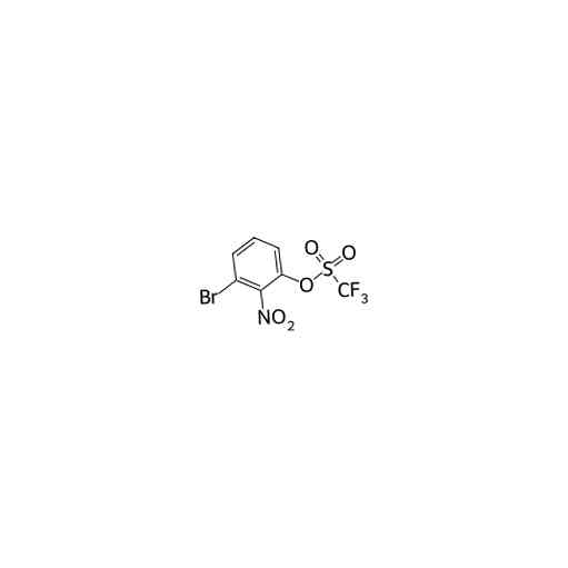 O=[N+]([O-])c1c(Br)cccc1OS(=O)(=O)C(F)(F)F